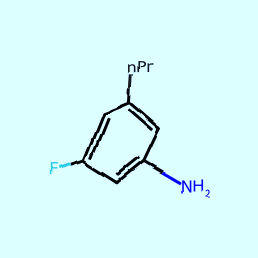 C[CH]Cc1cc(N)cc(F)c1